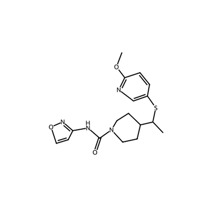 COc1ccc(SC(C)C2CCN(C(=O)Nc3ccon3)CC2)cn1